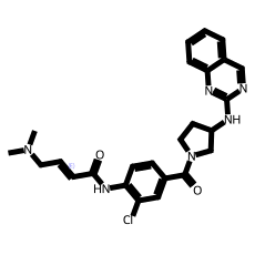 CN(C)C/C=C/C(=O)Nc1ccc(C(=O)N2CCC(Nc3ncc4ccccc4n3)C2)cc1Cl